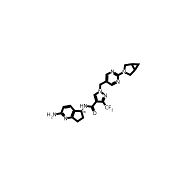 Nc1ccc2c(n1)CC[C@H]2NC(=O)c1cn(Cc2cnc(N3CC4CC4C3)nc2)nc1C(F)(F)F